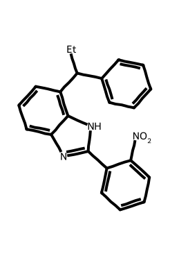 CCC(c1ccccc1)c1cccc2nc(-c3ccccc3[N+](=O)[O-])[nH]c12